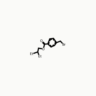 CCC(CC)COC(=O)c1ccc(CBr)cc1